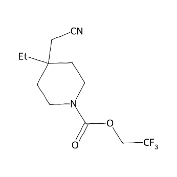 CCC1(CC#N)CCN(C(=O)OCC(F)(F)F)CC1